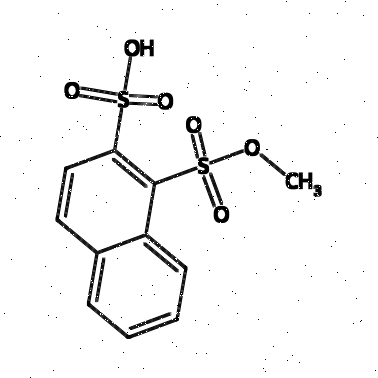 COS(=O)(=O)c1c(S(=O)(=O)O)ccc2ccccc12